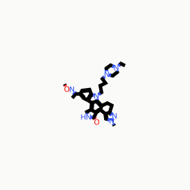 CCN1CCN(CCCCn2c3ccc(/C(C)=N/OC)cc3c3c4c(c5c(c32)CCc2nn(C)cc2-5)C(=O)NC4)CC1